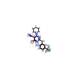 N#Cc1c(N2CCCCC2)nc(Cc2cccc(C(F)(F)F)c2)[nH]c1=O